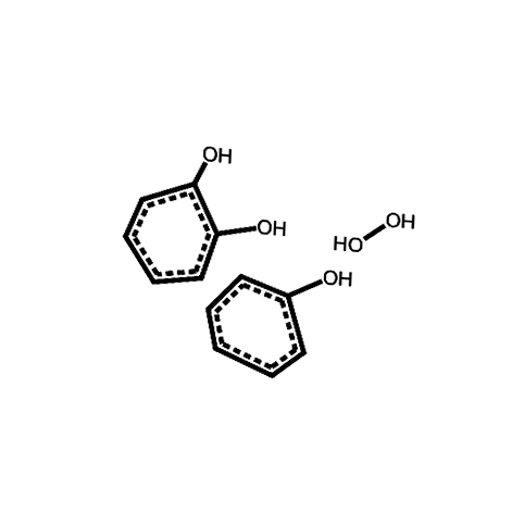 OO.Oc1ccccc1.Oc1ccccc1O